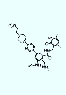 Cc1cc(C)c(CNC(=O)c2cc(-c3ccc(N4CCN(CCN)CC4)nc3)cc(NC(C)C)c2CN)c(=O)[nH]1